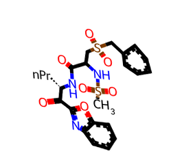 CCC[C@H](NC(=O)C(CS(=O)(=O)Cc1ccccc1)NS(C)(=O)=O)C(=O)c1nc2ccccc2o1